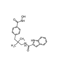 CC(C)(CNC(=O)c1cc2ccccc2[nH]1)Cc1ccc(C(=O)NO)cc1